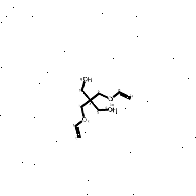 C=COCC(CO)(CO)COC=C